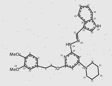 COc1ccc(CCOc2cc(N3CCCCC3)cc(N/N=C/c3c[nH]c4ccccc34)n2)cc1OC